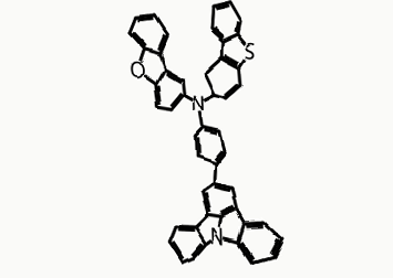 C1=CC(N(c2ccc(-c3cc4c5ccccc5n5c6ccccc6c(c3)c45)cc2)c2ccc3oc4ccccc4c3c2)Cc2c1sc1ccccc21